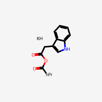 CCCC(=O)OC(=O)Cc1c[nH]c2ccccc12.[KH]